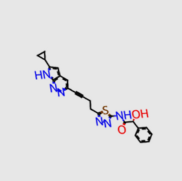 O=C(Nc1nnc(CCC#Cc2cc3cc(C4CC4)[nH]c3nn2)s1)[C@@H](O)c1ccccc1